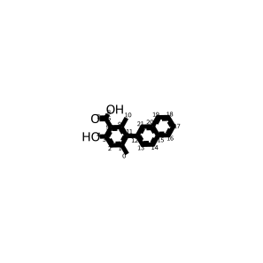 Cc1cc(O)c(C(=O)O)c(C)c1-c1ccc2ccccc2c1